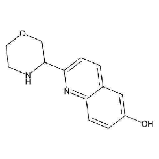 Oc1ccc2nc(C3COCCN3)ccc2c1